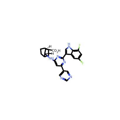 O=C(O)[C@@H]1C2CCC(CC2)[C@H]1Nc1cc(-c2cncnc2)nc(-c2c[nH]c3c(F)cc(F)cc23)n1